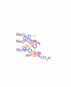 CC(C)Oc1cc(-n2nc(C(C)(C)C)oc2=O)c(Cl)cc1Cl.COc1cc(OC)nc(NC(=O)NS(=O)(=O)c2ncccc2C(=O)N(C)C)n1.C[S+](C)C.O=C(O)CNCP(=O)([O-])O